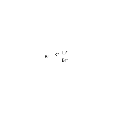 [Br-].[Br-].[K+].[Li+]